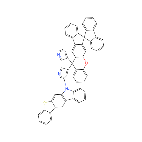 c1ccc2c(c1)Oc1cc3c(cc1C21c2cccnc2-c2ncc(-n4c5ccccc5c5cc6c(cc54)sc4ccccc46)cc21)-c1ccccc1C31c2ccccc2-c2ccccc21